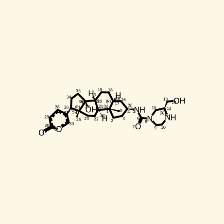 C[C@]12CC[C@H](NC(=O)N3CCN[C@H](CO)C3)C[C@H]1CC[C@@H]1[C@@H]2CC[C@]2(C)[C@@H](c3ccc(=O)oc3)CC[C@]12O